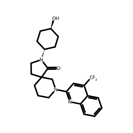 O=C1N([C@H]2CC[C@H](O)CC2)CCC12CCCN(c1cc(C(F)(F)F)c3ccccc3n1)C2